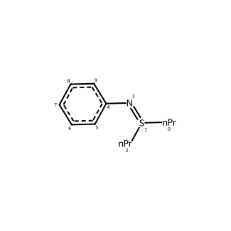 CCCS(CCC)=Nc1ccccc1